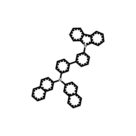 c1cc(-c2cccc(-n3c4ccccc4c4ccccc43)c2)cc(N(c2ccc3ccccc3c2)c2ccc3ccccc3c2)c1